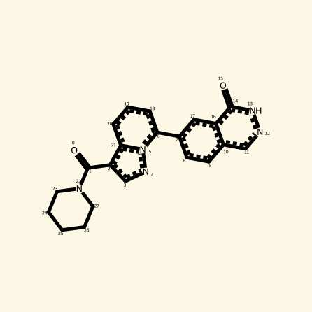 O=C(c1cnn2c(-c3ccc4cn[nH]c(=O)c4c3)cccc12)N1CCCCC1